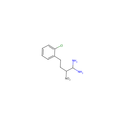 NC(N)C(CCc1ccccc1Cl)[N+](=O)[O-]